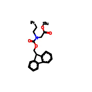 CC(C)CCN(CC(=O)OC(C)(C)C)C(=O)OCC1c2ccccc2-c2ccccc21